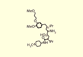 COCCCOc1cc(C[C@@H](C[C@H](N)[C@@H](O)C[C@H](C(=O)NC2CCN(C)CC2)C(C)C)C(C)C)ccc1OC